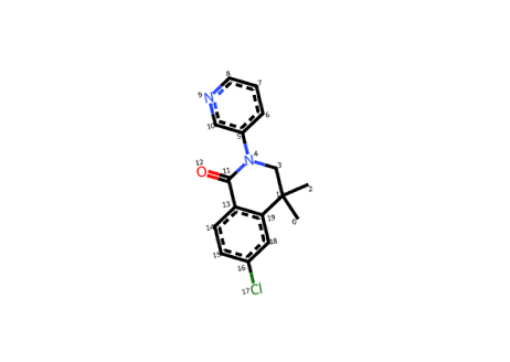 CC1(C)CN(c2cccnc2)C(=O)c2ccc(Cl)cc21